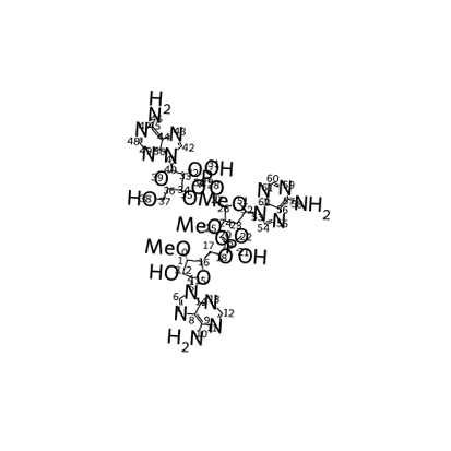 CO[C@H]1[C@@H](O)[C@H](n2cnc3c(N)ncnc32)O[C@@H]1COP(=O)(O)O[C@@H]1[C@H](OC)[C@@H](COP(=O)(O)O[C@@H]2[C@H](OC)[C@@H](CO)O[C@H]2n2cnc3c(N)ncnc32)O[C@H]1n1cnc2c(N)ncnc21